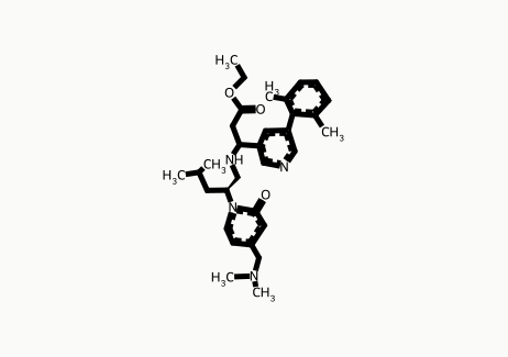 CCOC(=O)CC(NC[C@H](CC(C)C)n1ccc(CN(C)C)cc1=O)c1cncc(-c2c(C)cccc2C)c1